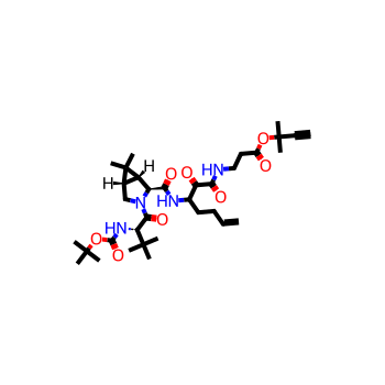 C#CC(C)(C)OC(=O)CCNC(=O)C(=O)C(CCC=C)NC(=O)[C@@H]1[C@@H]2[C@H](CN1C(=O)[C@@H](NC(=O)OC(C)(C)C)C(C)(C)C)C2(C)C